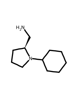 NC[C@@H]1CCCN1C1CCCCC1